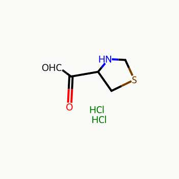 Cl.Cl.O=CC(=O)C1CSCN1